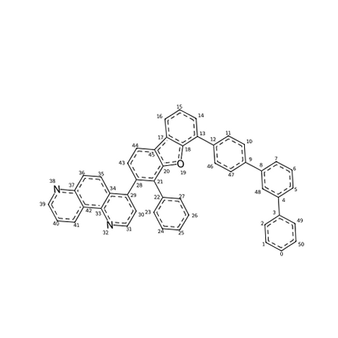 c1ccc(-c2cccc(-c3ccc(-c4cccc5c4oc4c(-c6ccccc6)c(-c6ccnc7c6ccc6ncccc67)ccc45)cc3)c2)cc1